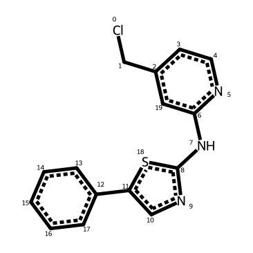 ClCc1ccnc(Nc2ncc(-c3ccccc3)s2)c1